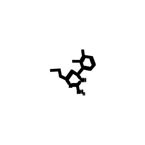 CCCC1=CC(c2cccc(C)c2C)NC(N)=N1